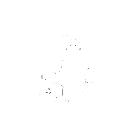 CCN(CC)CC.Nc1nc2c(c(=O)[nH]1)NCN2CC(F)CCP(=O)(O)O